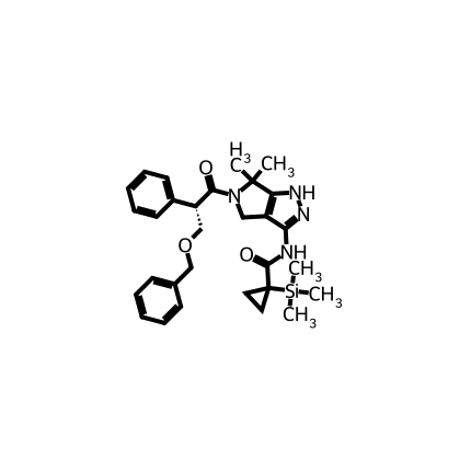 CC1(C)c2[nH]nc(NC(=O)C3([Si](C)(C)C)CC3)c2CN1C(=O)[C@H](COCc1ccccc1)c1ccccc1